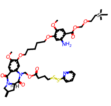 C=C1C[C@H]2C(=O)N(COC(=O)CCCSSc3ccccn3)c3cc(OCCCCCOc4cc(N)c(C(=O)OCOCC[Si](C)(C)C)cc4OC)c(OC)cc3C(=O)N2C1